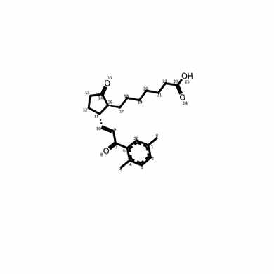 Cc1ccc(C)c(C(=O)C=C[C@@H]2CCC(=O)[C@H]2CCCCCCC(=O)O)c1